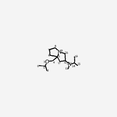 CC(C)OCC12CCCN1CC(N(C)C(C)C)C2